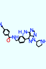 N#Cc1ccc(C(=O)NCc2ccc(-c3nn([C@@H]4CCCNC4)c4ncnc(N)c34)cc2)cc1